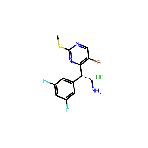 CSc1ncc(Br)c([C@H](CN)c2cc(F)cc(F)c2)n1.Cl